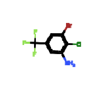 Nc1cc(C(F)(F)F)cc(Br)c1Cl